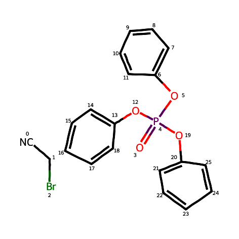 N#CCBr.O=P(Oc1ccccc1)(Oc1ccccc1)Oc1ccccc1